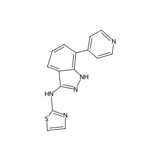 c1cc(-c2ccncc2)c2[nH]nc(Nc3nccs3)c2c1